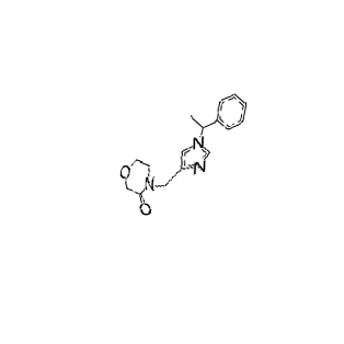 CC(c1ccccc1)n1cnc(CN2CCOCC2=O)c1